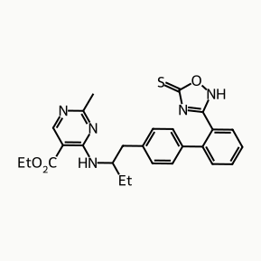 CCOC(=O)c1cnc(C)nc1NC(CC)Cc1ccc(-c2ccccc2-c2nc(=S)o[nH]2)cc1